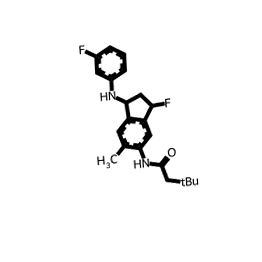 Cc1cc2c(cc1NC(=O)CC(C)(C)C)C(F)CC2Nc1cccc(F)c1